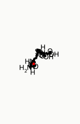 Nc1nc2[nH]c(CCC#Cc3sccc3C(=O)N[C@@H](CCC(=O)O)C(=O)O)cc2c(=O)[nH]1